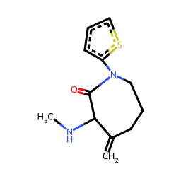 C=C1CCCN(c2cccs2)C(=O)C1NC